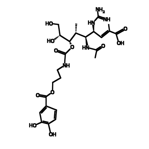 CC(=O)N[C@@H]([C@@H](C)[C@H](OC(=O)NCCCOC(=O)c1ccc(O)c(O)c1)[C@H](O)CO)[C@H](/C=C(\C)C(=O)O)NC(=N)N